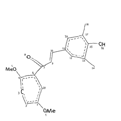 COc1ccc(OC)c(C(=O)/C=C/c2cc(C)c(O)c(C)c2)c1